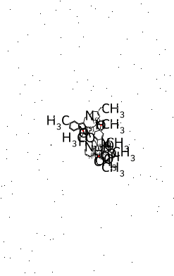 CCC1=C[C@H]2CN(C1)Cc1c([nH]c3ccc(C)cc13)[C@@](C(=O)OC)(C1C=C3C(=CC1OC)N(C)[C@@H]1C34CCN3CC=C[C@](CC)([C@H]34)[C@@H](OC(C)=O)[C@]1(O)C(=O)OC)C2